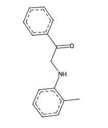 Cc1ccccc1NCC(=O)c1ccccc1